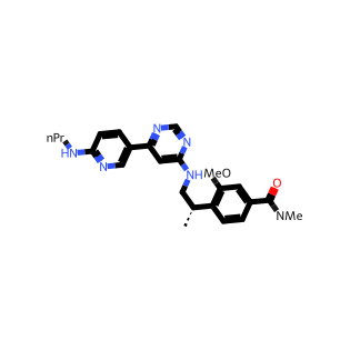 CCCNc1ccc(-c2cc(NC[C@@H](C)c3ccc(C(=O)NC)cc3OC)ncn2)cn1